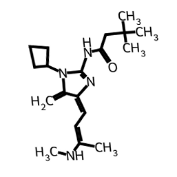 C=c1/c(=C\C=C(/C)NC)nc(NC(=O)CC(C)(C)C)n1C1CCC1